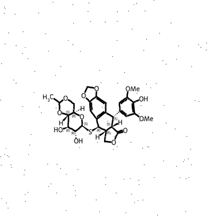 COc1cc([C@H]2c3cc4c(cc3[C@H](S[C@@H]3O[C@@H]5COC(C)O[C@H]5[C@H](O)[C@H]3O)[C@H]3COC(=O)[C@@H]23)OCO4)cc(OC)c1O